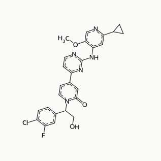 COc1cnc(C2CC2)cc1Nc1nccc(-c2ccn(C(CO)c3ccc(Cl)c(F)c3)c(=O)c2)n1